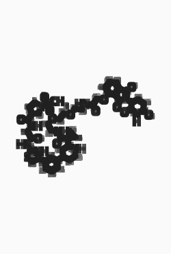 CS(=O)(=O)N1CCC(C(=O)NCC(=O)NC2NC(c3cccc(C4CCNC(C5(C(=O)NCCOCCOCCNC(=O)COc6cccc7c6C(=O)N(C6CCC(=O)NC6=O)C7=O)CC5)C4)c3)CS2)C1